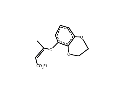 CCOC(=O)/C=C(/C)Oc1cccc2c1OCCO2